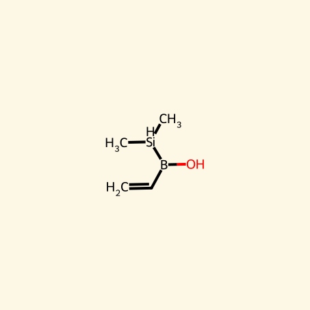 C=CB(O)[SiH](C)C